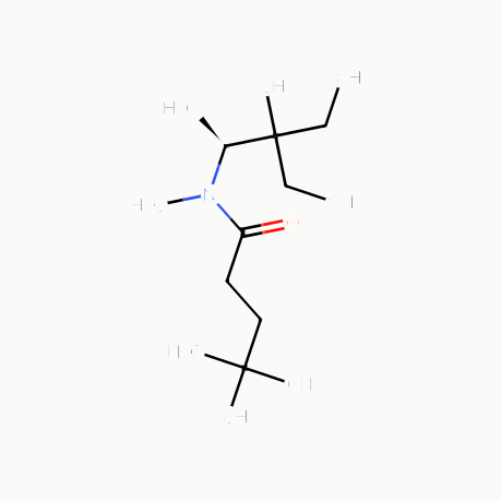 CCC(C)(CC)[C@H](C)N(C)C(=O)CCC(C)(C)C